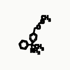 COCOCc1ccc(C(C)(N)c2ccccc2)cc1